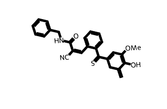 C=C1CC(C(=S)c2ccccc2C=C(C#N)C(=O)NCc2ccccc2)=CC(OC)=C1O